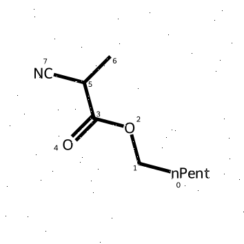 CCCCCCOC(=O)C(C)C#N